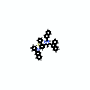 CC1C(c2ccc(-n3c4ccccc4c4cc5ccccc5cc43)c3sc4ccccc4c23)=NC(c2ccc3ccccc3c2)=NC1c1cc2ccccc2c2ccccc12